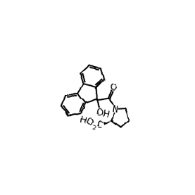 O=C(O)[C@@H]1CCCN1C(=O)C1(O)c2ccccc2-c2ccccc21